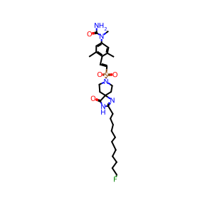 Cc1cc(N(C)C(N)=O)cc(C)c1/C=C/S(=O)(=O)N1CCC2(CC1)N=C(CCCCCCCCCCCF)NC2=O